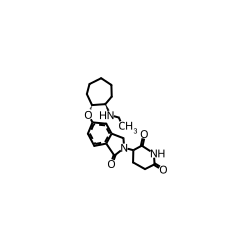 CCN[C@@H]1CCCCC[C@H]1Oc1ccc2c(c1)CN(C1CCC(=O)NC1=O)C2=O